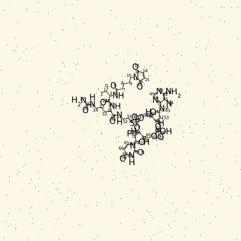 CC(C)C(NC(=O)CCCCN1C(=O)C=CC1=O)C(=O)NC(CCCNC(N)=O)C(=O)NCCSP1(=O)OC[C@H]2O[C@@H](n3cnc4c(N)ncnc43)[C@H](C)[C@@H]2OP(=O)(O)OC[C@H]2O[C@@H](n3ccc(=O)[nH]c3=O)[C@H](F)[C@@H]2O1